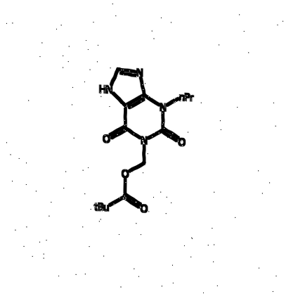 CCCn1c(=O)n(COC(=O)C(C)(C)C)c(=O)c2[nH]cnc21